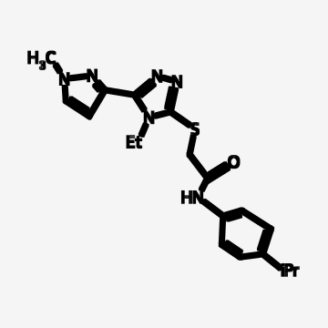 CCn1c(SCC(=O)Nc2ccc(C(C)C)cc2)nnc1-c1ccn(C)n1